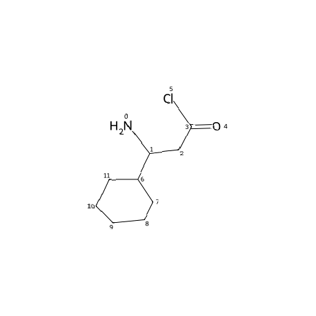 NC(CC(=O)Cl)C1CCCCC1